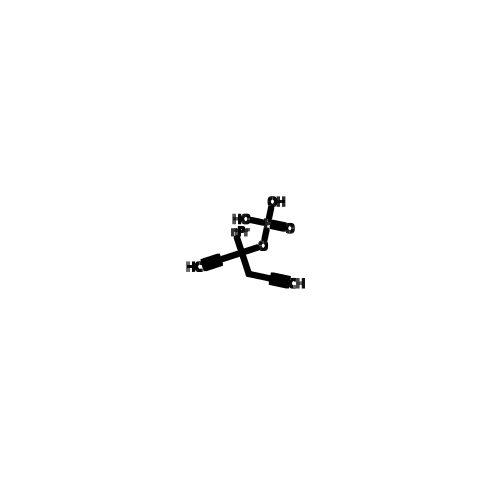 C#CCC(C#C)(CCC)OP(=O)(O)O